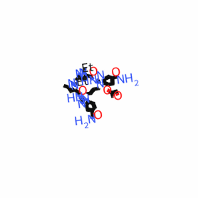 CCn1nc(C)cc1C(=O)Nc1nc2cc(C(N)=O)ccc2n1CC=CCn1c(NC(=O)c2cc(C)nn2CC)nc2cc(C(N)=O)cc(OC3COC3)c21